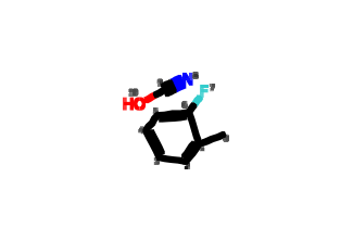 Cc1ccccc1F.N#CO